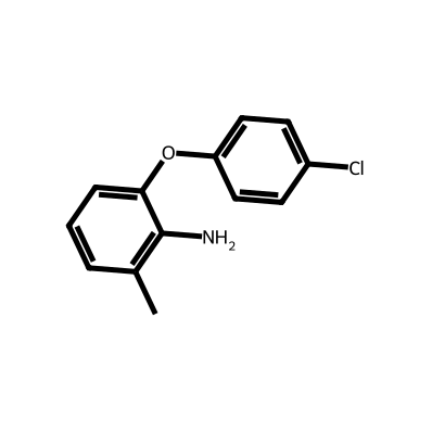 Cc1cccc(Oc2ccc(Cl)cc2)c1N